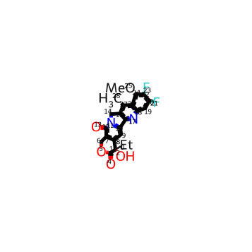 CC[C@@]1(O)C(=O)OCc2c1cc1n(c2=O)Cc2c-1nc1cc(F)c(F)c(OC)c1c2C